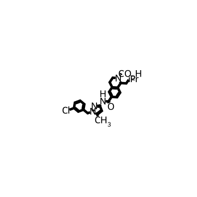 Cc1cc(NC(=O)c2ccc3c(c2)CCN(C(=O)O)C3CC(C)C)nn1Cc1cccc(Cl)c1